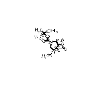 CC[C@H]1CN(C(=O)OC(C)(C)C)C[C@H]2OS(=O)O[C@H]12